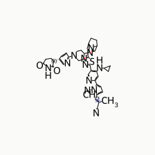 C=Nn1c(/C=C(\C)C#N)ccc1-c1cc(NC2CC2)c(-c2nnc(N3CC4CCC(C3)N4CC3CCN(c4ccc([C@H]5CCC(=O)NC5=O)cn4)CC3)s2)cn1